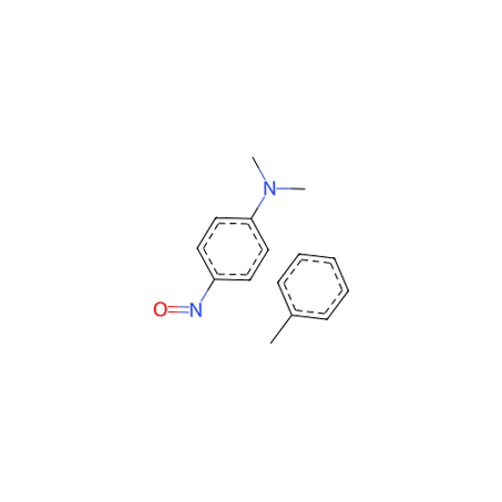 CN(C)c1ccc(N=O)cc1.Cc1ccccc1